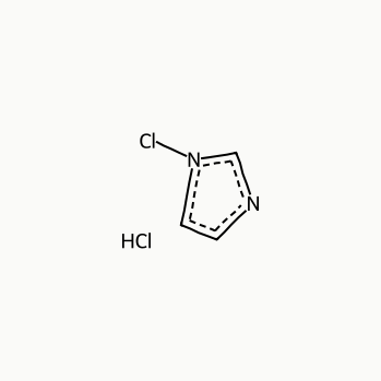 Cl.Cln1ccnc1